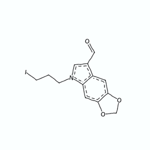 O=Cc1cn(CCCI)c2cc3c(cc12)OCO3